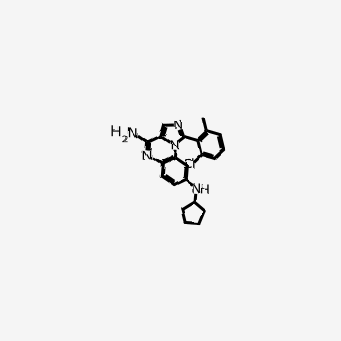 Cc1cccc(Cl)c1-c1ncc2c(N)nc3ccc(NC4CCCC4)cc3n12